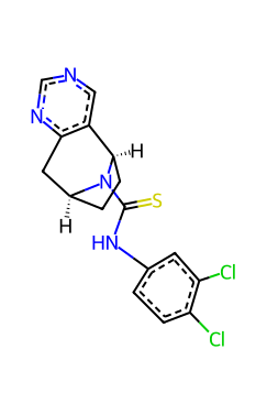 S=C(Nc1ccc(Cl)c(Cl)c1)N1[C@H]2CC[C@@H]1c1cncnc1C2